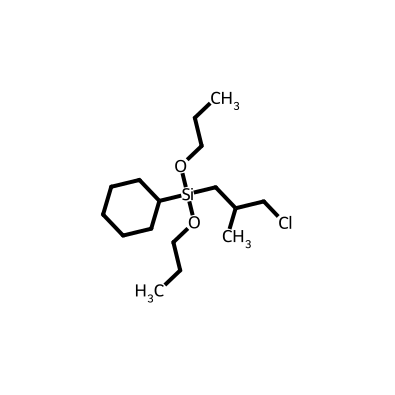 CCCO[Si](CC(C)CCl)(OCCC)C1CCCCC1